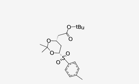 Cc1ccc(S(=O)(=O)[C@H]2C[C@@H](CC(=O)OC(C)(C)C)OC(C)(C)O2)cc1